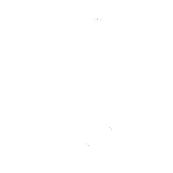 CCOC(=O)COCc1nc2ccccn2c1C#Cc1ccc(OC)cc1